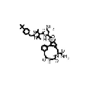 Cc1cc2cc(c1NC(=O)[C@H](CCN)NC(=O)c1c(C)nc(Cc3ccc(C(C)(C)C)cc3)nc1C)-c1cccc(c1)CC(=O)NCC(=O)NC(C(N)=O)C2